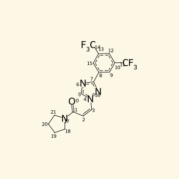 O=C(/C=C\n1cnc(-c2cc(C(F)(F)F)cc(C(F)(F)F)c2)n1)N1CCCC1